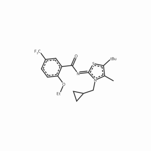 CCOc1ccc(C(F)(F)F)cc1C(=O)/N=c1\sc(C(C)(C)C)c(C)n1CC1CC1